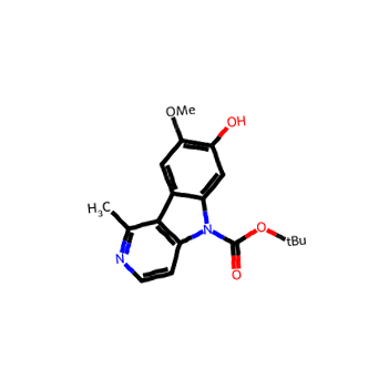 COc1cc2c3c(C)nccc3n(C(=O)OC(C)(C)C)c2cc1O